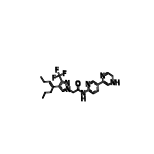 CC/C=C(\CCC)c1cn(CC(=O)Nc2ccc(C3=CNCC=N3)cn2)nc1C(F)(F)F